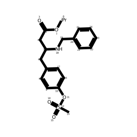 CC(C)OC(=O)CC(Cc1ccc(OS(C)(=O)=O)cc1)NCc1ccccc1